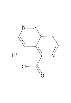 O=C(Cl)c1nccc2cnccc12.[H+]